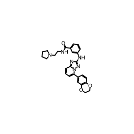 O=C(NCCN1CCCC1)c1cccc(Nc2nc3cccc(-c4ccc5c(c4)OCCO5)n3n2)c1